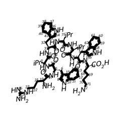 CC(C)[C@H](NC(=O)[C@H](Cc1c[nH]c2ccccc12)NC(=O)[C@@H](N)CCCNC(=N)N)C(=O)N[C@@H](Cc1c[nH]c2ccccc12)C(=O)N[C@H](C(=O)N[C@H](C(=O)N[C@@H](Cc1c[nH]c2ccccc12)C(=O)N[C@@H](CCCCN)C(=O)O)C(C)C)C(C)C